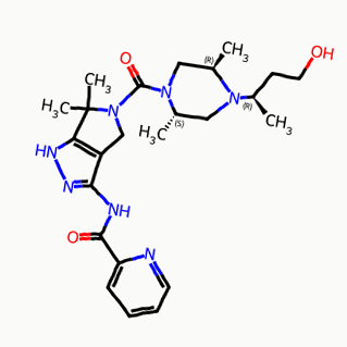 C[C@H](CCO)N1C[C@H](C)N(C(=O)N2Cc3c(NC(=O)c4ccccn4)n[nH]c3C2(C)C)C[C@H]1C